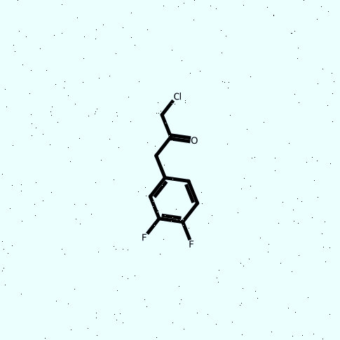 O=C(CCl)Cc1ccc(F)c(F)c1